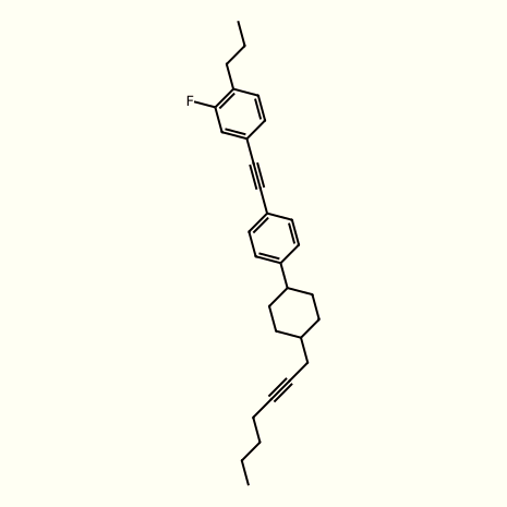 CCCCC#CCC1CCC(c2ccc(C#Cc3ccc(CCC)c(F)c3)cc2)CC1